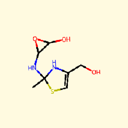 CC1(NC2OC2O)NC(CO)=CS1